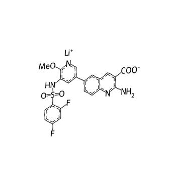 COc1ncc(-c2ccc3nc(N)c(C(=O)[O-])cc3c2)cc1NS(=O)(=O)c1ccc(F)cc1F.[Li+]